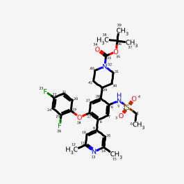 CCS(=O)(=O)Nc1cc(-c2cc(C)nc(C)c2)c(Oc2ccc(F)cc2F)cc1C1CCN(C(=O)OC(C)(C)C)CC1